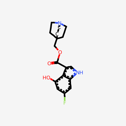 O=C(OCC12CCN(CC1)CC2)c1c[nH]c2cc(F)cc(O)c12